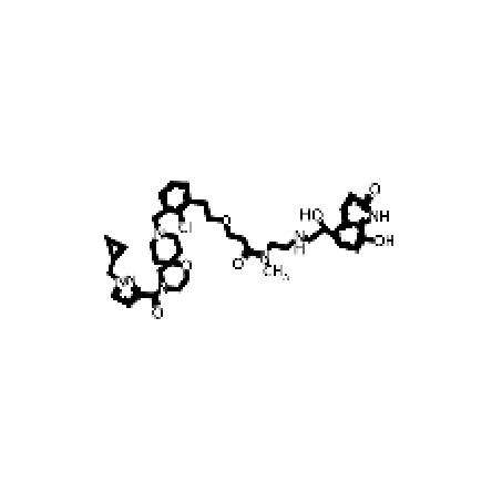 CN(CCNCC(O)c1ccc(O)c2[nH]c(=O)ccc12)C(=O)CCOCCc1cccc(CN2CCC3(CC2)CN(C(=O)c2ccn(CC4CC4)n2)CCO3)c1Cl